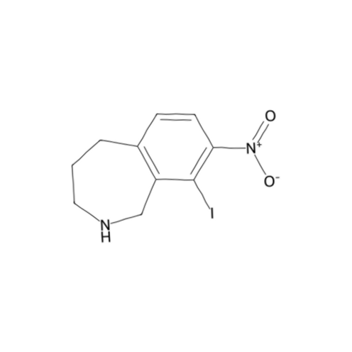 O=[N+]([O-])c1ccc2c(c1I)CNCCC2